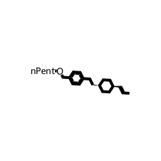 CC=C[C@H]1CC[C@H](CCc2ccc(COCCCCC)cc2)CC1